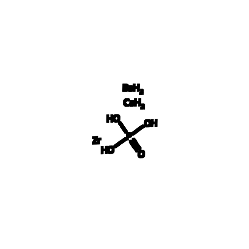 O=P(O)(O)O.[BaH2].[CaH2].[Zr]